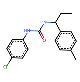 CCC(NC(=O)Nc1ccc(Cl)cc1)c1ccc(C)cc1